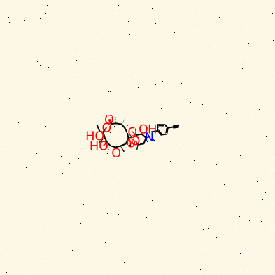 C#Cc1ccc(CN(C)[C@H]2C[C@@H](C)O[C@@H](O[C@H]3[C@@H](C)[C@@H](C)[C@@H](C)C(=O)O[C@H](CC)[C@@](C)(O)[C@H](O)[C@@H](C)C(=O)[C@H](C)C[C@@]3(C)OC)[C@H]2O)cc1